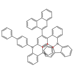 c1ccc(-c2ccc(N(c3ccc(-c4ccccc4-n4c5ccccc5c5ccccc54)c(-c4cc5ccccc5c5ccccc45)c3)c3ccccc3-c3ccccc3)cc2)cc1